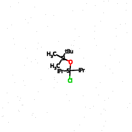 CC(C)[Si](Cl)(O[Si](C)(C)C(C)(C)C)C(C)C